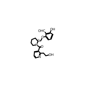 O=Cc1c(O)cccc1OC[C@@H]1CCCCN1C(=O)c1cccnc1CCO